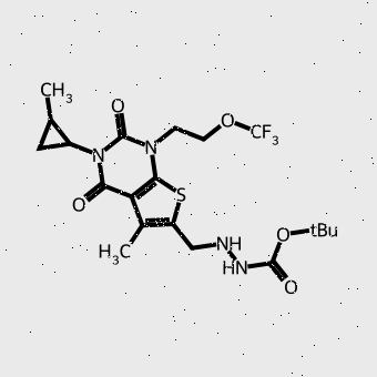 Cc1c(CNNC(=O)OC(C)(C)C)sc2c1c(=O)n(C1CC1C)c(=O)n2CCOC(F)(F)F